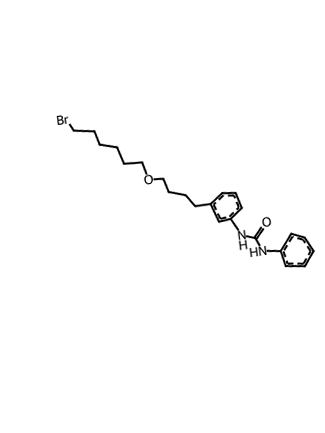 O=C(Nc1ccccc1)Nc1cccc(CCCCOCCCCCCBr)c1